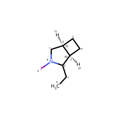 CCC1[C@@H]2CC[C@@H]2CN1I